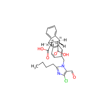 CCCCc1nc(Cl)c(C=O)n1Cc1ccc2c(c1)[C@@H]1c3ccccc3[C@H]2[C@@H](C(=O)O)[C@H]1C(=O)O